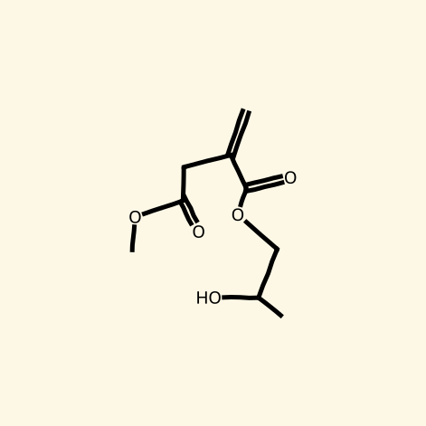 C=C(CC(=O)OC)C(=O)OCC(C)O